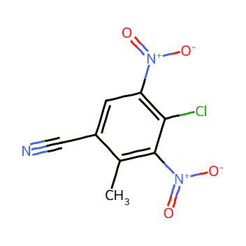 Cc1c(C#N)cc([N+](=O)[O-])c(Cl)c1[N+](=O)[O-]